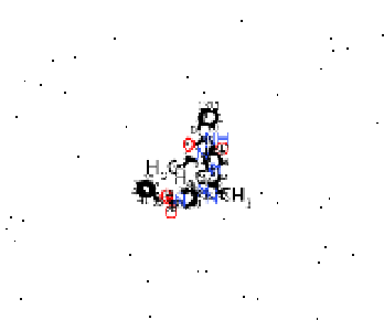 CCCCN1C(=O)[C@H](CC2CCCCC2)NC(=O)C12CCN(Cc1c(C)nn(C3CCN(C(=O)OCc4ccccc4)CC3)c1C)CC2